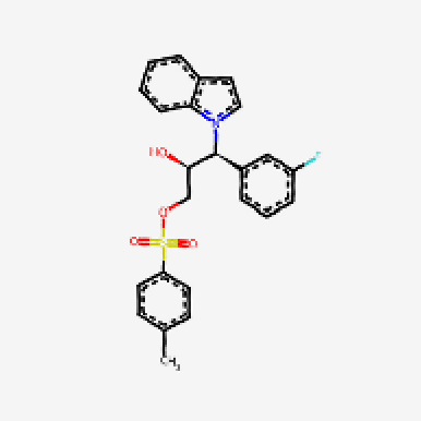 Cc1ccc(S(=O)(=O)OC[C@@H](O)[C@H](c2cccc(F)c2)n2ccc3ccccc32)cc1